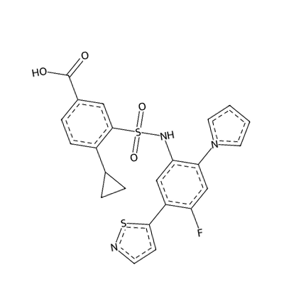 O=C(O)c1ccc(C2CC2)c(S(=O)(=O)Nc2cc(-c3ccns3)c(F)cc2-n2cccc2)c1